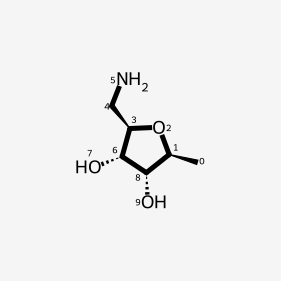 C[C@@H]1O[C@H](CN)[C@@H](O)[C@H]1O